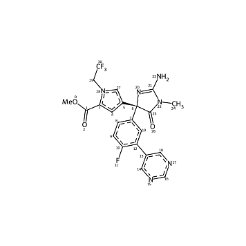 COC(=O)c1cc([C@@]2(c3ccc(F)c(-c4cncnc4)c3)N=C(N)N(C)C2=O)cn1CC(F)(F)F